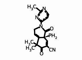 Cc1nccc(N2CC=C3C(C)(C)C(=O)C(C#N)=C[C@@]3(P)C2=O)n1